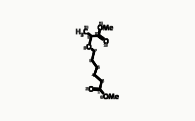 COC(=O)CCCCCOC(C)C(=O)OC